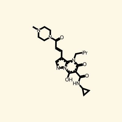 CC(C)Cn1c(=O)c(C(=O)NC2CC2)c(O)n2ncc(/C=C/C(=O)N3CCN(C)CC3)c12